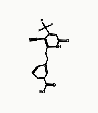 N#Cc1c(C(F)(F)F)cc(=O)[nH]c1SCc1cccc(C(=O)O)c1